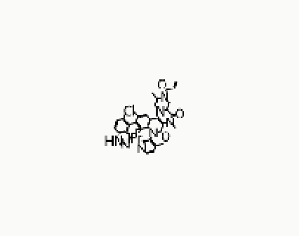 C=CC(=O)N1CC2C(=O)N(C)c3c(c4cc(Cl)c(-c5c(C)ccc6[nH]ncc56)c(F)c4n(-c4c(C)ccnc4C(C)C)c3=O)N2CC1C